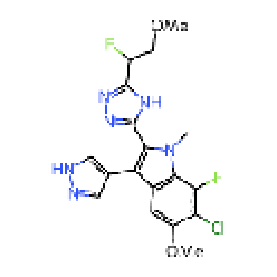 COCC(F)c1nnc(-c2c(-c3cn[nH]c3)c3cc(OC)c(Cl)c(F)c3n2C)[nH]1